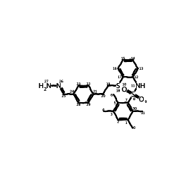 Cc1cc(C)c(C)c(S(=O)(=O)Nc2ccccc2SCCc2ccc(C=NN)cc2)c1C